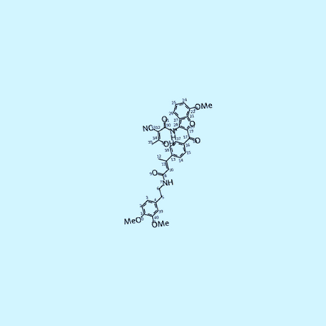 COc1ccc(CCNC(=O)C=C(C)c2ccc(C(=O)c3oc4c(OC)cccc4c3NC(=O)C(C#N)=C(C)O)cc2)cc1OC